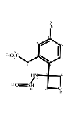 CCOC(=O)Cc1cc(Br)ccc1C1(N[SH]=O)COC1